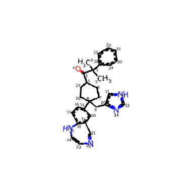 CC(C)(C(=O)C1CCC(Cc2c[nH]cn2)(c2ccc3c(c2)C=NC=CN3)CC1)c1ccccc1